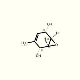 CC1=C[C@H](O)[C@H]2O[C@H]2[C@@H]1O